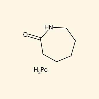 O=C1CCCCCN1.[PoH2]